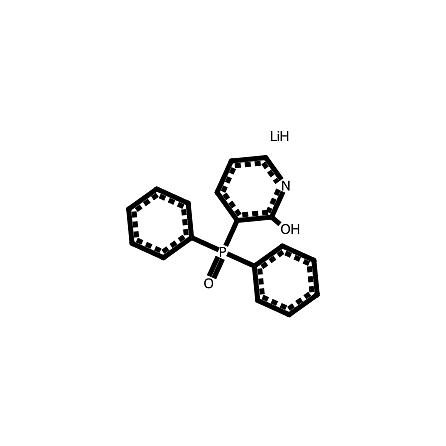 O=P(c1ccccc1)(c1ccccc1)c1cccnc1O.[LiH]